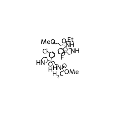 CCC(=O)N[C@](CCCCOC)(c1cccc(F)c1F)[C@@H]1CCCNC1.CO[C@H](C)C(=O)NCCC[C@@](O)(c1cccc(Cl)c1)[C@@H]1CCCNC1